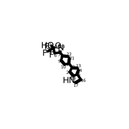 OC1(C(F)(F)F)CC(c2ccc(-c3ccc4cc[nH]c4c3)cc2)=NO1